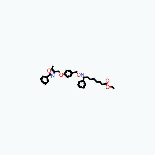 CCOC(=O)CCCCCCC(=NOCc1ccc(OCc2nc(-c3ccccc3)oc2C)cc1)c1ccccc1